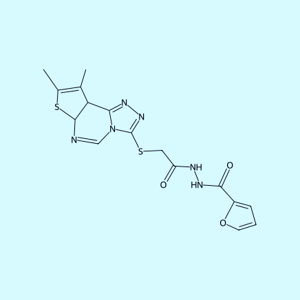 CC1=C(C)C2c3nnc(SCC(=O)NNC(=O)c4ccco4)n3C=NC2S1